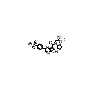 CC(C)S(=O)(=O)c1ccc(-c2cnc3[nH]cc(C(=O)N(CC(N)=O)C4CCCC4)c3n2)cc1